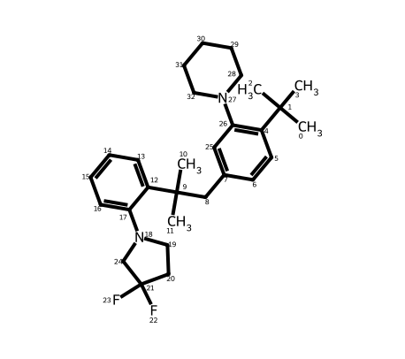 CC(C)(C)c1ccc(CC(C)(C)c2ccccc2N2CCC(F)(F)C2)cc1N1CCCCC1